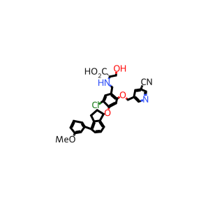 COc1cccc(-c2cccc3c2CC[C@@H]3Oc2cc(OCc3cncc(C#N)c3)c(CN[C@@H](CO)C(=O)O)cc2Cl)c1